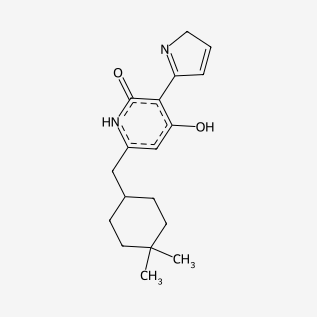 CC1(C)CCC(Cc2cc(O)c(C3=NCC=C3)c(=O)[nH]2)CC1